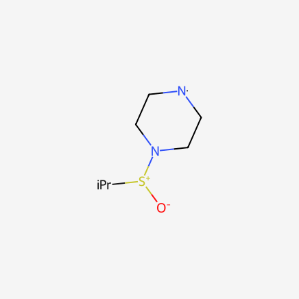 CC(C)[S+]([O-])N1CC[N]CC1